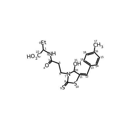 CCC(NC(=O)CCN1C(=S)S/C(=C/c2ccc(C)cc2)C1O)C(=O)O